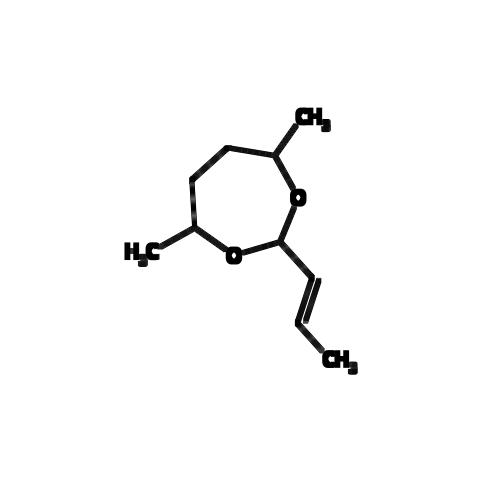 CC=CC1OC(C)CCC(C)O1